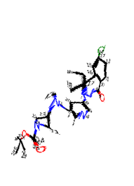 CN(c1cncc(N2C(=O)c3ccc(Cl)cc3C2(C)C)c1)C1CN(C(=O)OC(C)(C)C)C1